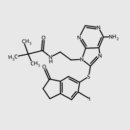 CC(C)(C)C(=O)NCCn1c(Sc2cc3c(cc2I)CCC3=O)nc2c(N)ncnc21